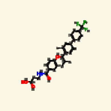 Cc1cc(-c2ccc(C(F)(F)F)cc2)ccc1[C@H](Oc1ccc(C(=O)NCCC(=O)O)cc1)C(C)C